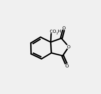 O=C1OC(=O)C2(C(=O)O)C=CC=CC12